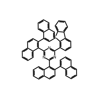 c1ccc2c(-c3ccc4ccccc4c3-c3nc(-c4c(-c5cccc6ccccc56)ccc5ccccc45)nc(-c4cccc5c4sc4ccccc45)n3)cccc2c1